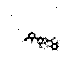 N#Cc1cccc(-c2cc3nc(C(O)c4c(F)cccc4F)nn3c(N)n2)c1F